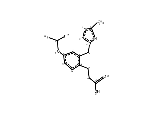 Cc1nnn(Cc2cc(OC(F)F)ccc2CCC(=O)O)n1